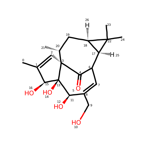 CC1=C[C@]23C(=O)C(C=C(CO)[C@@H](O)[C@]2(O)[C@H]1O)[C@H]1[C@@H](C[C@H]3C)C1(C)C